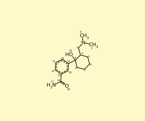 CN(C)CC1CCCCC1(O)c1cccc(C(N)=O)c1